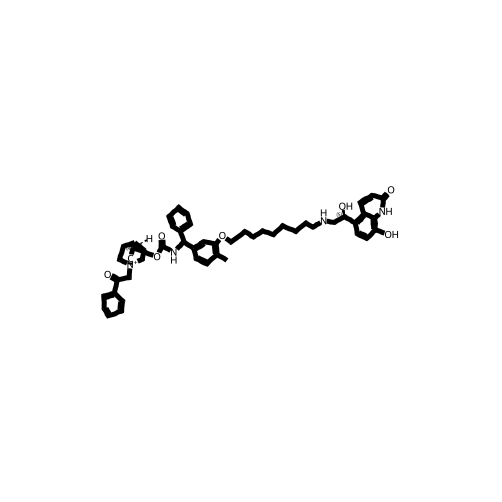 Cc1ccc(C(NC(=O)O[C@H]2C[N+]3(CC(=O)c4ccccc4)CCC2CC3)c2ccccc2)cc1OCCCCCCCCCNC[C@@H](O)c1ccc(O)c2[nH]c(=O)ccc12